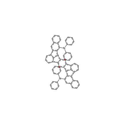 c1ccc(N(c2ccccc2)c2c3ccccc3cc3c4cccc5c6nc7c(nc6n(c23)c45)c2cccc3c4c5ccccc5cc(N(c5ccccc5)c5ccccc5)c4n7c23)cc1